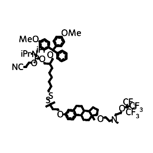 COc1ccc(C(OCC(CCCCCCSSC(C)(C)CCOc2ccc3c(c2)CCC2C3CCC3(C)C(OCCN(C)CCOC(C(F)(F)F)(C(F)(F)F)C(F)(F)F)CCC23)COP(OCCC#N)N(C(C)C)C(C)C)(c2ccccc2)c2ccc(OC)cc2)cc1